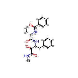 CCNC(=O)C(=O)C(Cc1ccccc1)NC(=O)[C@H](CC(C)C)NC(=O)c1ccccc1